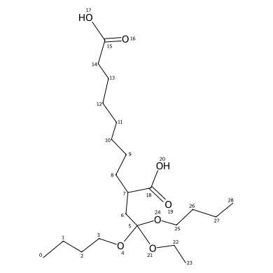 CCCCOC(CC(CCCCCCCC(=O)O)C(=O)O)(OCC)OCCCC